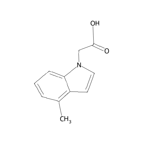 Cc1cccc2c1ccn2CC(=O)O